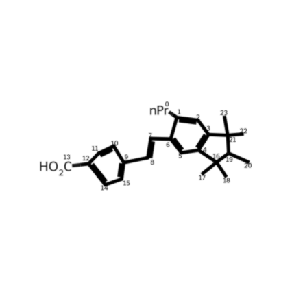 CCCc1cc2c(cc1/C=C/c1ccc(C(=O)O)cc1)C(C)(C)C(C)C2(C)C